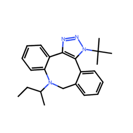 CCC(C)N1Cc2ccccc2-c2c(nnn2C(C)(C)C)-c2ccccc21